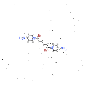 Nc1cc[n+](C(Br)CCCCC(Br)[n+]2ccc(N)cc2)cc1